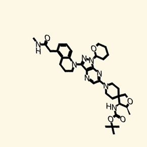 CNC(=O)Cc1cccc2c1CCCN2c1nn(C2CCCCO2)c2nc(N3CCC4(CC3)CO[C@@H](C)[C@H]4NC(=O)OC(C)(C)C)cnc12